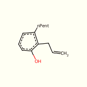 C=CCc1c(O)cccc1CCCCC